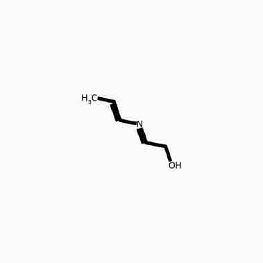 CC=CN=CCO